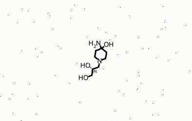 NC1(O)CCN(C[C@@H](O)CO)CC1